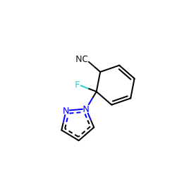 N#CC1C=CC=CC1(F)n1cccn1